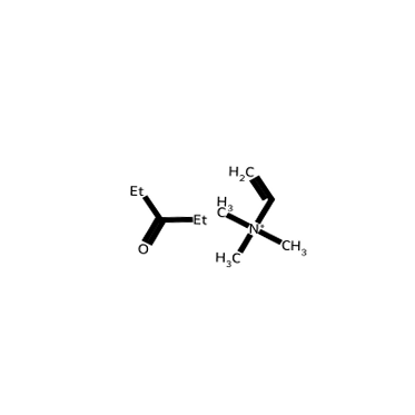 C=C[N+](C)(C)C.CCC(=O)CC